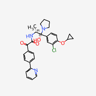 C[C@@H](NC(=O)C(=O)c1ccc(-c2ccccn2)cc1)[C@](O)(c1ccc(OC2CC2)c(Cl)c1)N1CCCC1